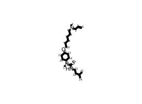 C=CCN(C)CCCCCCO[C@H]1CC[C@H](N(C)C(=S)NCCC(C)C)CC1